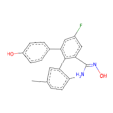 Cc1ccc(C)c(-c2c(/C(N)=N/O)cc(F)cc2-c2ccc(O)cc2)c1